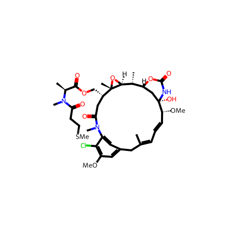 COc1cc2cc(c1Cl)N(C)C(=O)C[C@H](COC(=O)[C@H](C)N(C)C(=O)CCSC)[C@]1(C)O[C@H]1[C@H](C)[C@@H]1C[C@@](O)(NC(=O)O1)[C@H](OC)/C=C/C=C(\C)C2